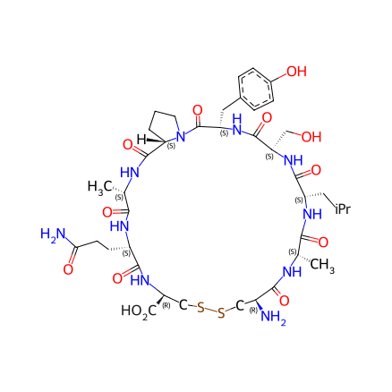 CC(C)C[C@@H]1NC(=O)[C@H](C)NC(=O)[C@@H](N)CSSC[C@@H](C(=O)O)NC(=O)[C@H](CCC(N)=O)NC(=O)[C@H](C)NC(=O)[C@@H]2CCCN2C(=O)[C@H](Cc2ccc(O)cc2)NC(=O)[C@H](CO)NC1=O